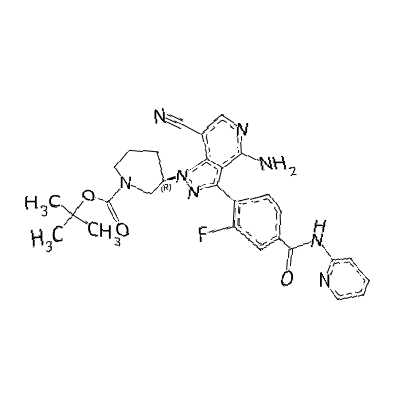 CC(C)(C)OC(=O)N1CCC[C@@H](n2nc(-c3ccc(C(=O)Nc4ccccn4)cc3F)c3c(N)ncc(C#N)c32)C1